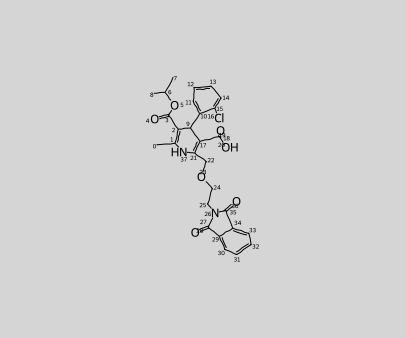 CC1=C(C(=O)OC(C)C)C(c2ccccc2Cl)C(C(=O)O)=C(COCCN2C(=O)c3ccccc3C2=O)N1